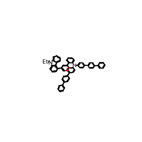 CCn1c2ccccc2c2c(-c3cccc(-c4ccccc4N(c4ccc(-c5ccc(-c6ccccc6)cc5)cc4)c4ccc(-c5ccc(-c6ccccc6)cc5)cc4)c3)cccc21